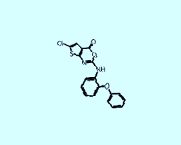 O=c1oc(Nc2ccccc2Oc2ccccc2)nc2sc(Cl)cc12